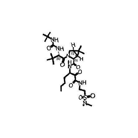 CCCCC(NC(=O)[C@@H]1[C@@H]2[C@H](CN1C(=O)[C@@H](NC(=O)NC(C)(C)C)C(C)(C)C)C2(C)C)C(=O)C(=O)NCCS(=O)(=O)N(C)C